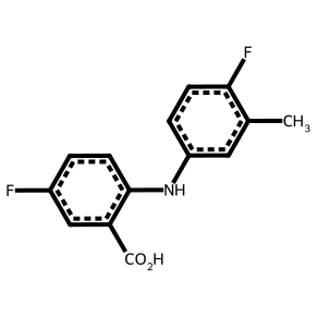 Cc1cc(Nc2ccc(F)cc2C(=O)O)ccc1F